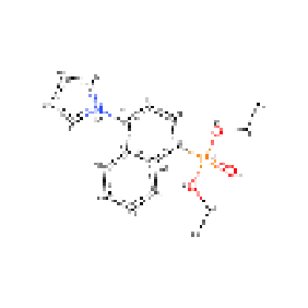 CCOP(=O)(OCC)c1ccc(-n2cccc2)c2ccccc12